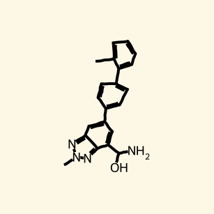 Cc1ccccc1-c1ccc(-c2cc(C(N)O)c3nn(C)nc3c2)cc1